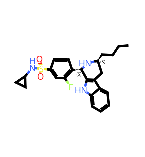 CCCC[C@H]1Cc2c([nH]c3ccccc23)[C@H](c2ccc(S(=O)(=O)NC3CC3)cc2F)N1